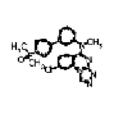 CN(c1cccc(-c2ccc(P(C)(C)=O)cc2)c1)c1nc2nncn2c2cc(Cl)ccc12